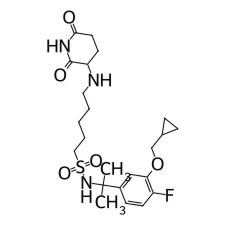 CC(C)(NS(=O)(=O)CCCCCNC1CCC(=O)NC1=O)c1ccc(F)c(OCC2CC2)c1